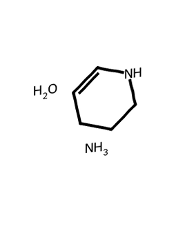 C1=CNCCC1.N.O